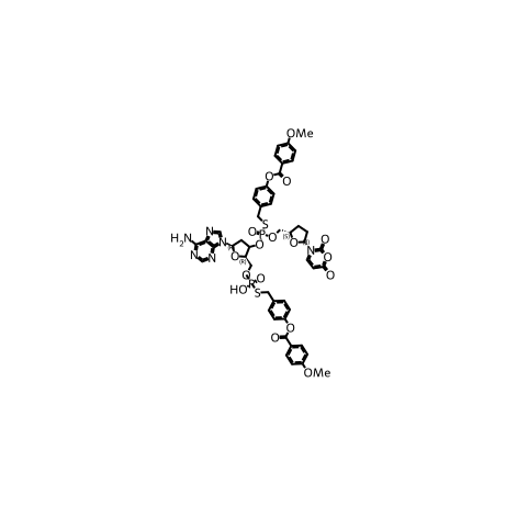 COc1ccc(C(=O)Oc2ccc(CSP(=O)(O)OC[C@H]3O[C@@H](n4cnc5c(N)ncnc54)CC3OP(=O)(OC[C@@H]3CC[C@H](n4ccc(=O)oc4=O)O3)SCc3ccc(OC(=O)c4ccc(OC)cc4)cc3)cc2)cc1